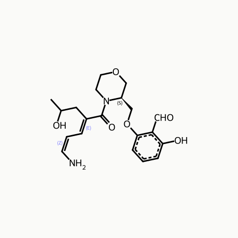 CC(O)C/C(=C\C=C/N)C(=O)N1CCOC[C@H]1COc1cccc(O)c1C=O